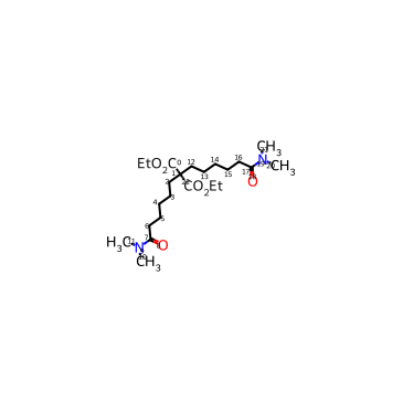 CCOC(=O)C(CCCCCC(=O)N(C)C)(CCCCCC(=O)N(C)C)C(=O)OCC